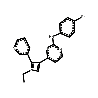 CC[N+]1=C(c2cccnc2)C(c2ccnc(Nc3ccc(Br)cc3)n2)=C1